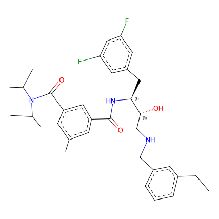 CCc1cccc(CNC[C@@H](O)[C@H](Cc2cc(F)cc(F)c2)NC(=O)c2cc(C)cc(C(=O)N(C(C)C)C(C)C)c2)c1